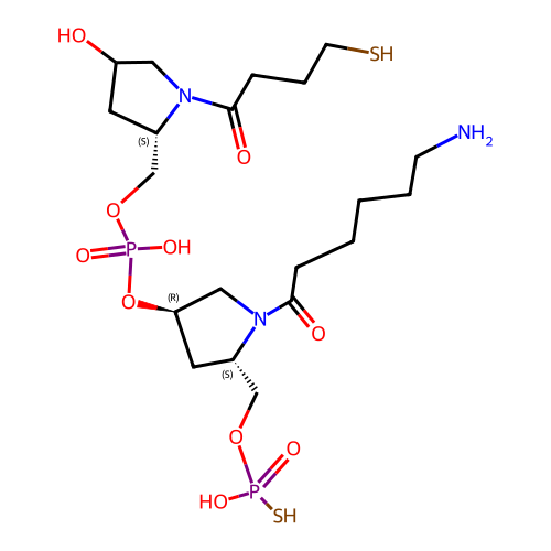 NCCCCCC(=O)N1C[C@H](OP(=O)(O)OC[C@@H]2CC(O)CN2C(=O)CCCS)C[C@H]1COP(=O)(O)S